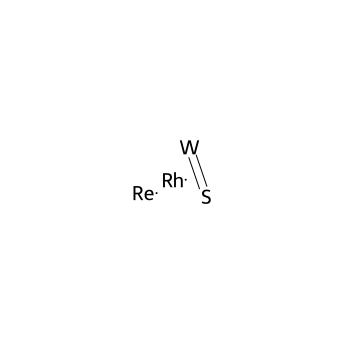 [Re].[Rh].[S]=[W]